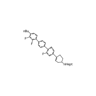 CCCCCCCC1CC=C(c2ccc(-c3ccc(-c4ccc(CCCC)c(F)c4F)cc3)c(F)c2)CC1